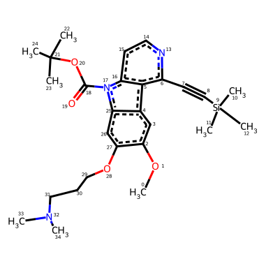 COc1cc2c3c(C#C[Si](C)(C)C)nccc3n(C(=O)OC(C)(C)C)c2cc1OCCCN(C)C